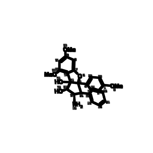 COc1ccc(C23Oc4cc(OC)cc(OC)c4C2(O)[C@H](O)[C@H](N)C3c2ccccc2)cc1